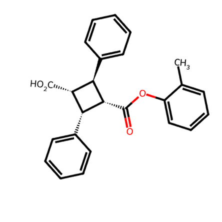 Cc1ccccc1OC(=O)[C@H]1[C@H](c2ccccc2)[C@@H](C(=O)O)[C@H]1c1ccccc1